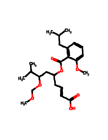 COCOC(CC(C/C=C/C(=O)O)OC(=O)c1c(CC(C)C)cccc1OC)C(C)C